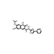 CC(C)Oc1cc2[nH]c(=O)c([C@H](C)Nc3nc(-c4cccnc4)co3)cc2cc1Cl